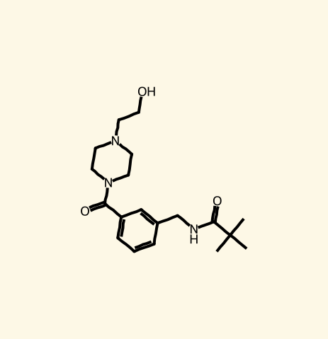 CC(C)(C)C(=O)NCc1cccc(C(=O)N2CCN(CCO)CC2)c1